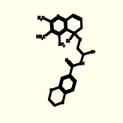 CCC1(OCC(NC(=O)c2ccc3c(c2)OCCO3)C(C)C)CC=Cc2nc(C)c(C(=O)O)c(N)c21